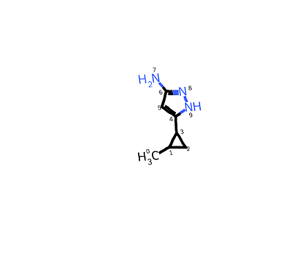 CC1CC1c1cc(N)n[nH]1